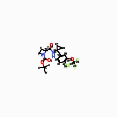 CC(C)(C)OC(=O)N1CCC1C(=O)NC1(c2ccc(F)c(OC(F)(F)F)c2)CC1